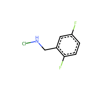 Fc1ccc(F)c(CNCl)c1